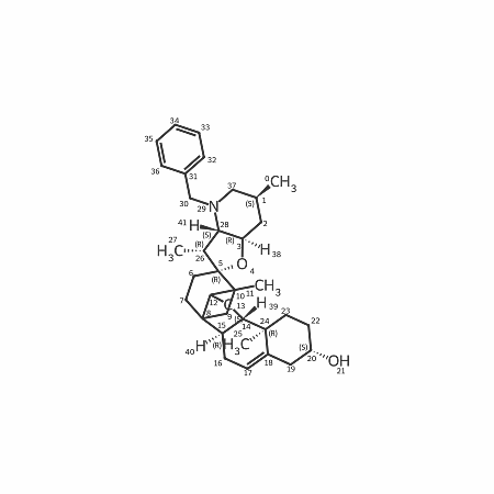 C[C@H]1C[C@H]2O[C@]3(CCC45CC3(C)C4C[C@H]3[C@H]5CC=C4C[C@@H](O)CC[C@@]43C)[C@H](C)[C@@H]2N(Cc2ccccc2)C1